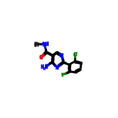 CC(C)NC(=O)c1cnc(-c2c(F)cccc2Cl)nc1N